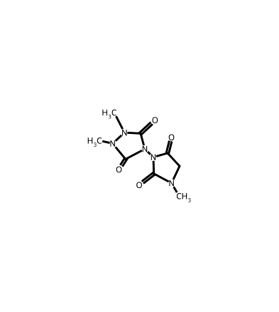 CN1CC(=O)N(n2c(=O)n(C)n(C)c2=O)C1=O